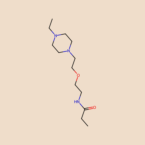 CCC(=O)NCCOCCN1CCN(CC)CC1